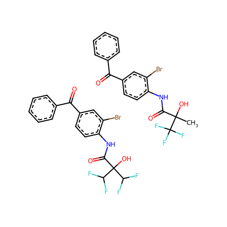 CC(O)(C(=O)Nc1ccc(C(=O)c2ccccc2)cc1Br)C(F)(F)F.O=C(c1ccccc1)c1ccc(NC(=O)C(O)(C(F)F)C(F)F)c(Br)c1